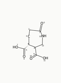 O=C1CC[C@@H](C(=O)O)C(C(=O)O)CN1